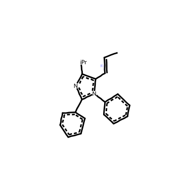 C/C=C/c1c(C(C)C)nc(-c2ccccc2)n1-c1ccccc1